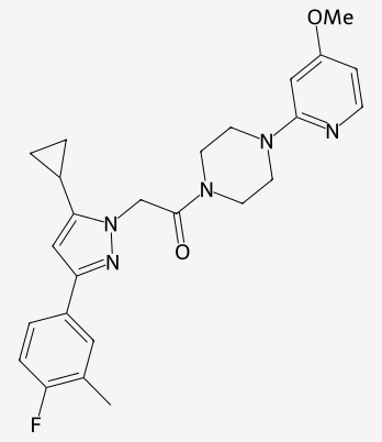 COc1ccnc(N2CCN(C(=O)Cn3nc(-c4ccc(F)c(C)c4)cc3C3CC3)CC2)c1